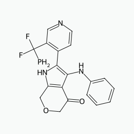 O=C1COCc2[nH]c(-c3ccncc3C(F)(F)P)c(Nc3ccccc3)c21